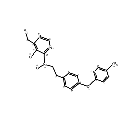 FC(F)(F)c1ccc(Oc2ccc(CCN(Cl)c3ncnc(CCl)c3Cl)cc2)nc1